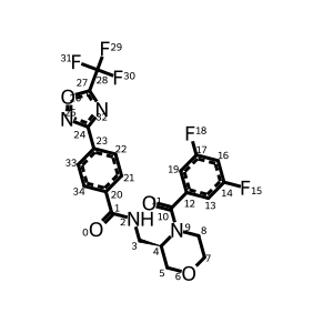 O=C(NC[C@@H]1COCCN1C(=O)c1cc(F)cc(F)c1)c1ccc(-c2noc(C(F)(F)F)n2)cc1